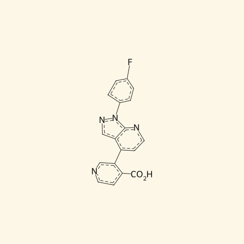 O=C(O)c1ccncc1-c1ccnc2c1cnn2-c1ccc(F)cc1